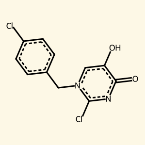 O=c1nc(Cl)n(Cc2ccc(Cl)cc2)cc1O